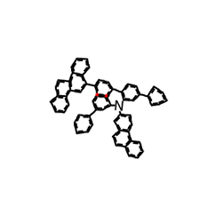 c1ccc(-c2cccc(N(c3ccc4c(ccc5ccccc54)c3)c3cc(-c4ccccc4)ccc3-c3ccc(-c4cc5c6ccccc6ccc5c5ccccc45)cc3)c2)cc1